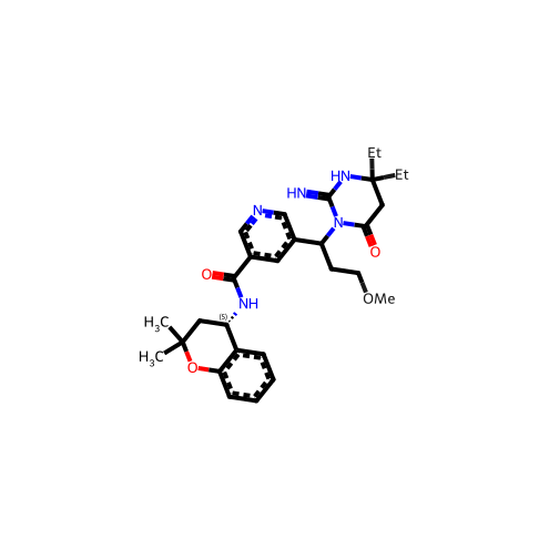 CCC1(CC)CC(=O)N(C(CCOC)c2cncc(C(=O)N[C@H]3CC(C)(C)Oc4ccccc43)c2)C(=N)N1